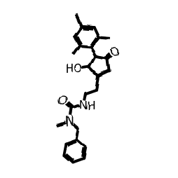 Cc1cc(C)c(C2C(=O)CC(CCNC(=O)N(C)Cc3ccccc3)C2O)c(C)c1